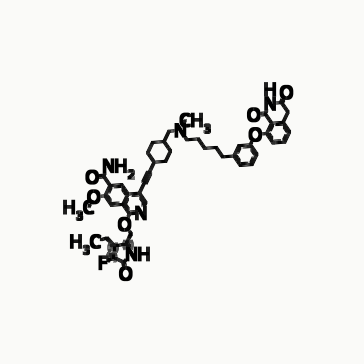 CC[C@@H]1[C@H](F)C(=O)N[C@@H]1COc1ncc(C#CC2CCC(CN(C)CCCCCc3cccc(Oc4cccc5c4C(=O)NC(=O)C5)c3)CC2)c2cc(C(N)=O)c(OC)cc12